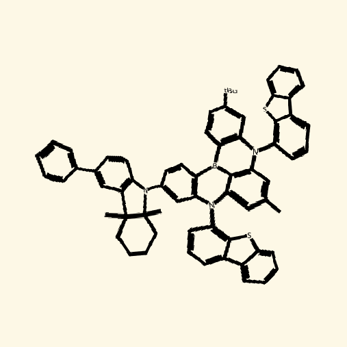 Cc1cc2c3c(c1)N(c1cccc4c1sc1ccccc14)c1cc(C(C)(C)C)ccc1B3c1ccc(N3c4ccc(-c5ccccc5)cc4C4(C)CCCCC34C)cc1N2c1cccc2c1sc1ccccc12